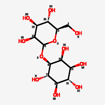 OC[C@H]1OC(O[C@@H]2[C@@H](O)[C@H](O)[C@@H](O)[C@H](O)[C@@H]2O)[C@@H](O)[C@@H](O)[C@@H]1O